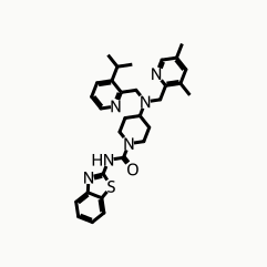 Cc1cnc(CN(Cc2ncccc2C(C)C)C2CCN(C(=O)Nc3nc4ccccc4s3)CC2)c(C)c1